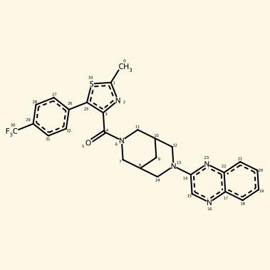 Cc1nc(C(=O)N2CC3CC(C2)CN(c2cnc4ccccc4n2)C3)c(-c2ccc(C(F)(F)F)cc2)s1